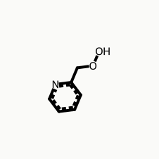 OOCc1ccccn1